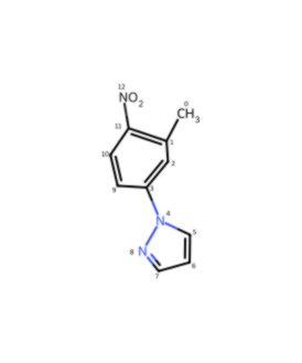 Cc1cc(-n2cccn2)ccc1[N+](=O)[O-]